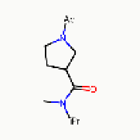 CC(=O)N1CCC(C(=O)N(C)C(C)C)C1